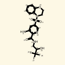 Nc1cc(S(=O)(=O)N2CCOc3ccccc32)cnc1C(=O)NCC(O)C(F)(F)F